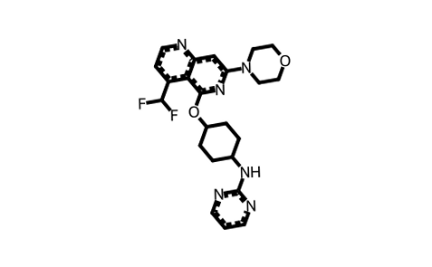 FC(F)c1ccnc2cc(N3CCOCC3)nc(OC3CCC(Nc4ncccn4)CC3)c12